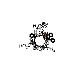 CC[C@H](C)[C@H](C)C(=O)NCC(=O)N[C@H]1CSc2[nH]c3ccccc3c2C[C@@H](C(=O)NCC(=O)O)NC(=O)[C@H]([C@@H](C)CC)NC(=O)[C@@H]2C[C@H](C)CN2C(=O)[C@H](CC(c2ccccc2)(c2ccccc2)c2ccccc2)NC1=O